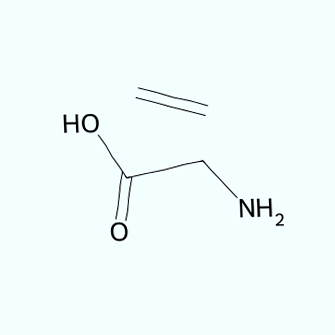 C=C.NCC(=O)O